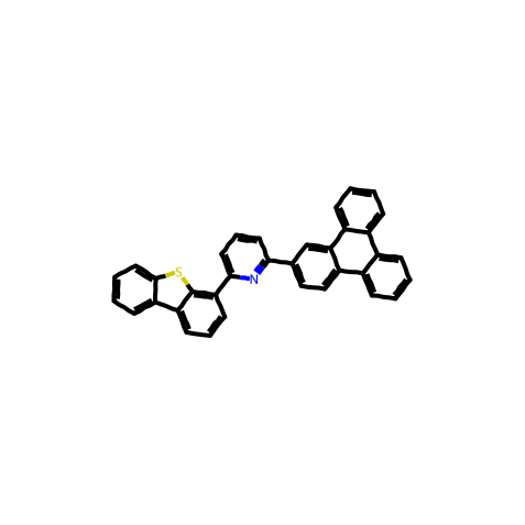 c1cc(-c2ccc3c4ccccc4c4ccccc4c3c2)nc(-c2cccc3c2sc2ccccc23)c1